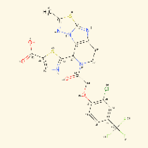 Cc1nn2c3c(nc2s1)CCN(C(=O)COc1ccc(C(F)(F)F)cc1Cl)C3c1ncc(C(=O)O)s1